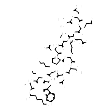 CC[C@H](C)[C@H](N)C(=O)N[C@@H](CC(N)=O)C(=O)N[C@@H](CCC(N)=O)C(=O)N[C@@H](CCC(N)=O)C(=O)N[C@@H](CC(C)C)C(=O)N[C@@H](CC(N)=O)C(=O)N1CCC[C@H]1C(=O)N[C@@H](CCCCN)C(=O)N[C@H](C(=O)N[C@@H](CC(N)=O)C(=O)N[C@@H](CCCCN)C(=O)N[C@@H](Cc1c[nH]c2ccccc12)C(=O)N[C@@H](CCC(=O)O)C(=O)N[C@@H](CC(=O)O)C(=O)N[C@H]([C]=O)CCCCN)[C@@H](C)O